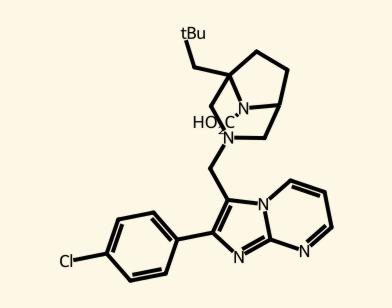 CC(C)(C)CC12CCC(CN(Cc3c(-c4ccc(Cl)cc4)nc4ncccn34)C1)N2C(=O)O